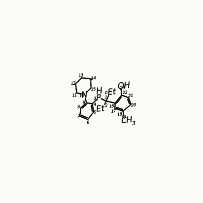 CCC(CC)(Pc1ccccc1N1CCCCC1)c1cc(C)ccc1O